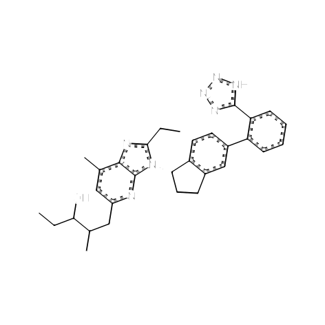 CCc1nc2c(C)cc(CC(C)C(O)CC)nc2n1[C@H]1CCc2cc(-c3ccccc3-c3nnn[nH]3)ccc21